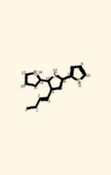 CC/C=C/C1CC(c2cccs2)SC1C1CCCS1